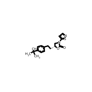 CC(C)(C)c1ccc(CC[C@@H]2CN(c3ccns3)C(=O)O2)cc1